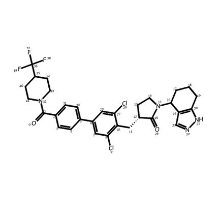 O=C(c1ccc(-c2cc(Cl)c(C[C@@H]3CCN(C4CCCc5[nH]ncc54)C3=O)c(Cl)c2)cc1)N1CCC(C(F)(F)F)CC1